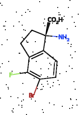 N[C@@]1(C(=O)O)CCc2c1ccc(Br)c2F